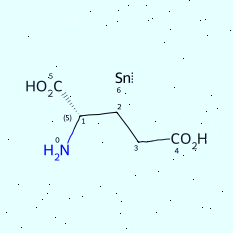 N[C@@H](CCC(=O)O)C(=O)O.[Sn]